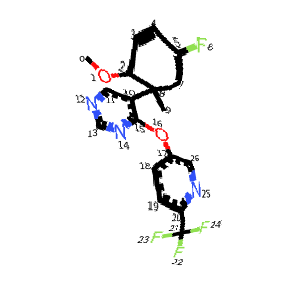 COC1C=CC(F)=CC1(C)c1cncnc1Oc1ccc(C(F)(F)F)nc1